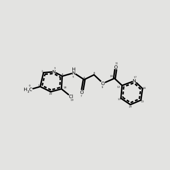 Cc1cnc(NC(=O)COC(=O)c2ccccn2)c(Cl)c1